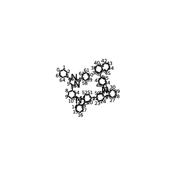 c1ccc(-c2cc(-c3cccc(-n4c5ccccc5c5cc(-c6ccc7c8ccccc8n(-c8ccc(-c9cccc%10ccccc9%10)cc8)c7c6)ccc54)c3)nc(-c3ccccc3)n2)cc1